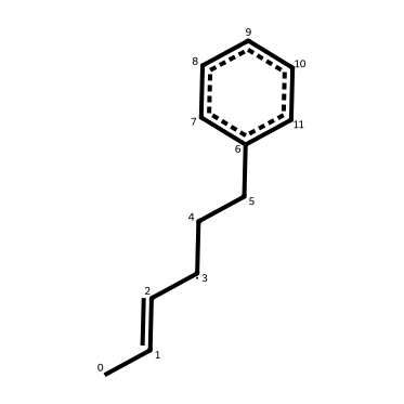 C/C=C/[CH]CCc1ccccc1